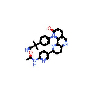 CC(=O)Nc1ccc(-c2ccc3ncc4ccc(=O)n(-c5ccc(C(C)(C)C#N)cc5)c4c3n2)cn1